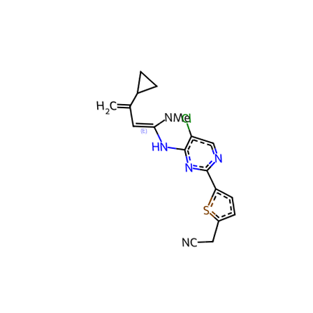 C=C(/C=C(\NC)Nc1nc(-c2ccc(CC#N)s2)ncc1Cl)C1CC1